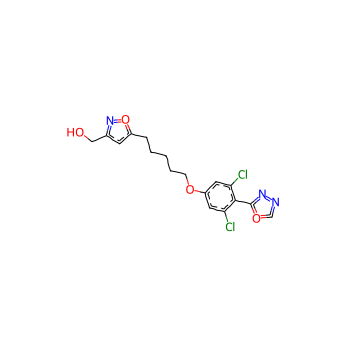 OCc1cc(CCCCCOc2cc(Cl)c(-c3nnco3)c(Cl)c2)on1